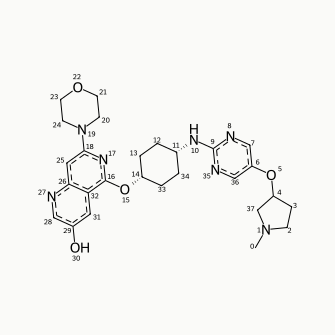 CN1CCC(Oc2cnc(N[C@H]3CC[C@@H](Oc4nc(N5CCOCC5)cc5ncc(O)cc45)CC3)nc2)C1